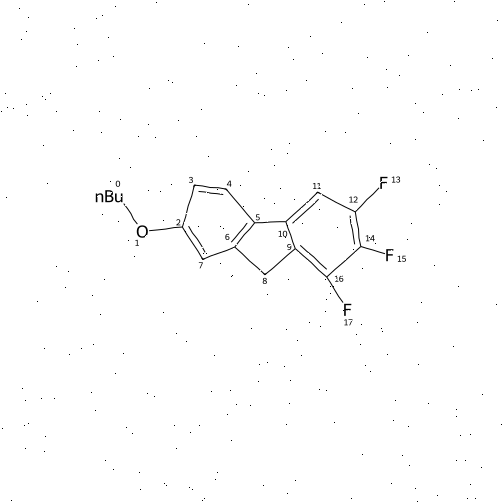 CCCCOc1ccc2c(c1)Cc1c-2cc(F)c(F)c1F